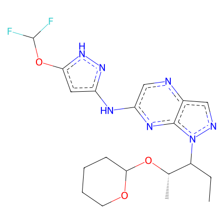 CCC([C@H](C)OC1CCCCO1)n1ncc2ncc(Nc3cc(OC(F)F)[nH]n3)nc21